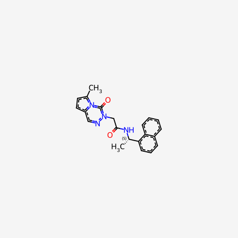 Cc1ccc2cnn(CC(=O)N[C@@H](C)c3cccc4ccccc34)c(=O)n12